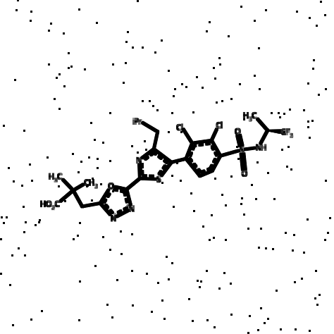 CC(C)Cc1nc(-c2nnc(CC(C)(C)C(=O)O)o2)sc1-c1ccc(S(=O)(=O)N[C@@H](C)C(F)(F)F)c(Cl)c1Cl